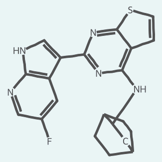 Fc1cnc2[nH]cc(-c3nc(NC4CC5CCC4CC5)c4ccsc4n3)c2c1